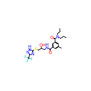 CCCN(CCC)C(=O)c1cc(C)cc(C(=O)NCC(O)CSc2nc(C(F)(F)F)n[nH]2)c1